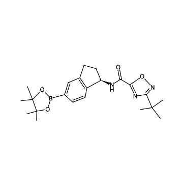 CC(C)(C)c1noc(C(=O)N[C@@H]2CCc3cc(B4OC(C)(C)C(C)(C)O4)ccc32)n1